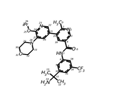 Cc1ncc(C(=O)Nc2cc(C(C)(C)N)cc(C(F)(F)F)c2)cc1-c1cnc(OC(C)C)c(N2CCOCC2)c1